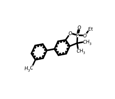 CCOP1(=O)Oc2cc(-c3cccc(C)c3)ccc2C1(C)C